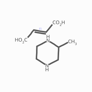 CC1CNCCN1.O=C(O)/C=C/C(=O)O